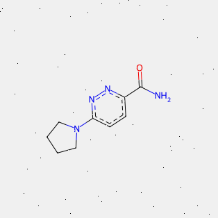 NC(=O)c1ccc(N2CCCC2)nn1